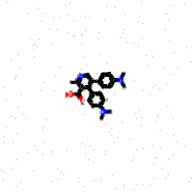 Cc1ncc(-c2ccc(N(C)C)cc2)c(-c2ccc(N(C)C)cc2)c1C(=O)O